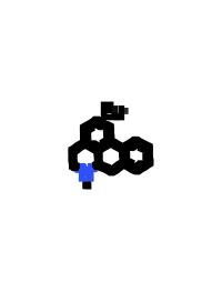 CN1CCc2cccc3c2C1Cc1ccccc1-3.[Eu]